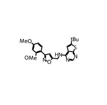 COc1ccc(-c2cc(CNc3ncnc4sc(C(C)(C)C)cc34)on2)c(OC)c1